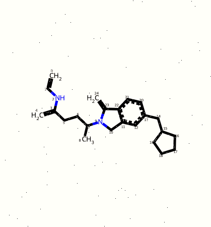 C=CNC(=C)CCC(C)N1Cc2cc(CC3CCCC3)ccc2C1=C